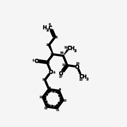 C=CC[C@H](C(=O)OCc1ccccc1)[C@H](C)C(=O)OC